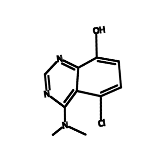 CN(C)c1ncnc2c(O)ccc(Cl)c12